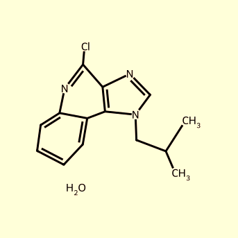 CC(C)Cn1cnc2c(Cl)nc3ccccc3c21.O